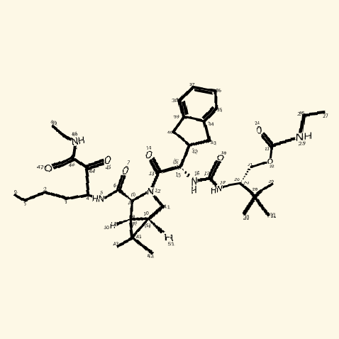 CCCCC(NC(=O)[C@@H]1[C@@H]2[C@H](CN1C(=O)[C@@H](NC(=O)N[C@H](COC(=O)NCC)C(C)(C)C)C1Cc3ccccc3C1)C2(C)C)C(=O)C(=O)NC